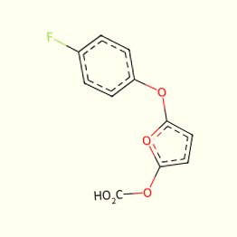 O=C(O)Oc1ccc(Oc2ccc(F)cc2)o1